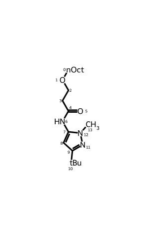 CCCCCCCCOCCC(=O)Nc1cc(C(C)(C)C)nn1C